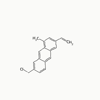 C=Cc1cc(C)c2cc3cc(CCl)ccc3cc2c1